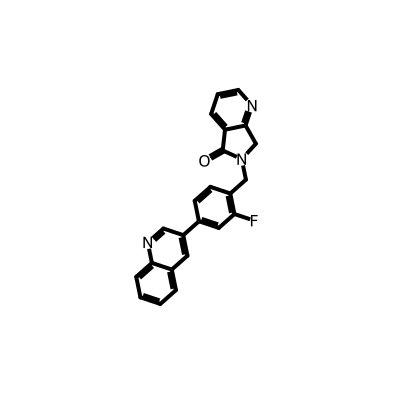 O=C1c2cccnc2CN1Cc1ccc(-c2cnc3ccccc3c2)cc1F